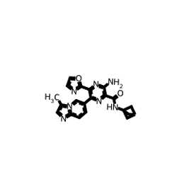 Cc1cnc2ccc(-c3nc(C(=O)NC45CC(C4)C5)c(N)nc3-c3ncco3)cn12